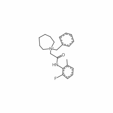 Cc1cccc(F)c1NC(=O)C[N+]1(Cc2ccccc2)CCCCCC1